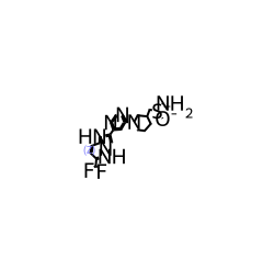 N=C(/C=C\c1ncc(-c2cc(N3CCCC(C[S+](N)[O-])C3)ncn2)[nH]1)C(F)F